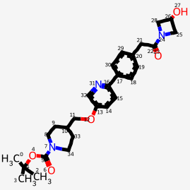 CC(C)(C)OC(=O)N1CCC(COc2ccc(-c3ccc(CC(=O)N4CC(O)C4)cc3)nc2)CC1